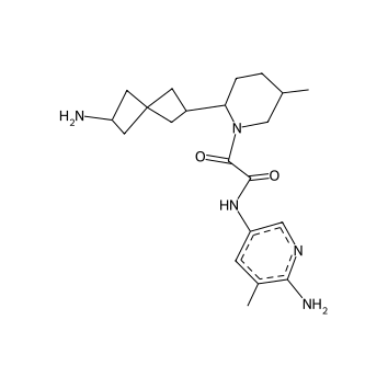 Cc1cc(NC(=O)C(=O)N2CC(C)CCC2C2CC3(CC(N)C3)C2)cnc1N